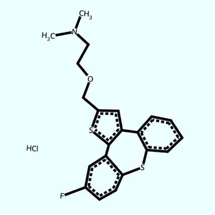 CN(C)CCOCc1cc2c(s1)-c1cc(F)ccc1Sc1ccccc1-2.Cl